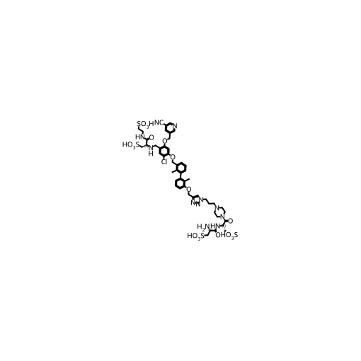 Cc1c(COc2cc(OCc3cncc(C#N)c3)c(CN[C@@H](CS(=O)(=O)O)C(=O)NCCS(=O)(=O)O)cc2Cl)cccc1-c1cccc(OCc2cn(CCCN3CCN(C(=O)[C@H](CS(=O)(=O)O)NC(=O)[C@@H](N)CS(=O)(=O)O)CC3)nn2)c1C